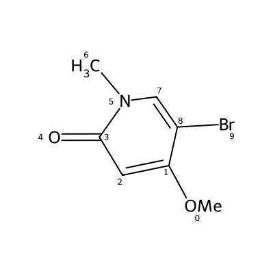 COc1cc(=O)n(C)cc1Br